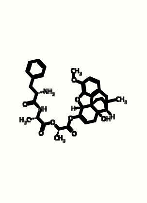 COc1ccc2c3c1O[C@H]1C(OC(=O)[C@H](C)OC(=O)[C@H](C)NC(=O)[C@@H](N)Cc4ccccc4)=CC[C@@]4(O)[C@@H](C2)C(C)CC[C@]314